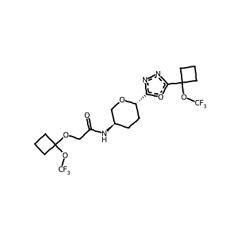 O=C(COC1(OC(F)(F)F)CCC1)N[C@@H]1CC[C@@H](c2nnc(C3(OC(F)(F)F)CCC3)o2)OC1